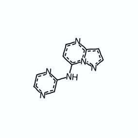 c1cnc(Nc2ccnc3ccnn23)cn1